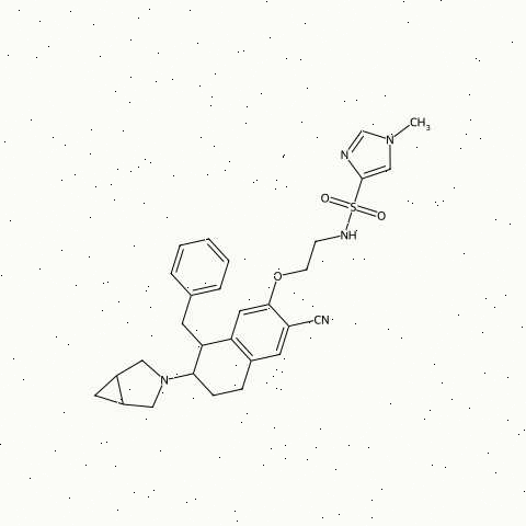 Cn1cnc(S(=O)(=O)NCCOc2cc3c(cc2C#N)CCC(N2CC4CC4C2)C3Cc2ccccc2)c1